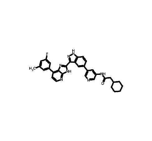 Cc1cc(F)cc(-c2ccnc3[nH]c(-c4n[nH]c5ccc(-c6cncc(NC(=O)CC7CCCCC7)c6)cc45)nc23)c1